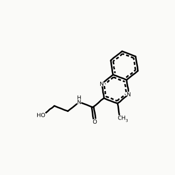 Cc1nc2ccccc2nc1C(=O)NCCO